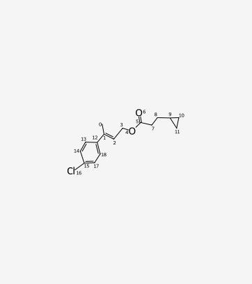 C/C(=C\COC(=O)CCC1CC1)c1ccc(Cl)cc1